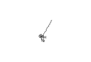 CCCCCCCCCCCCCCCC(=O)NC(CO)CN1CCCC1